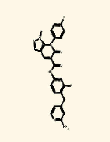 Cn1ncc2cc(C(=O)Nc3ccc(Cc4ccnc(N)c4)c(F)c3)c(=O)n(-c3ccc(F)cc3)c21